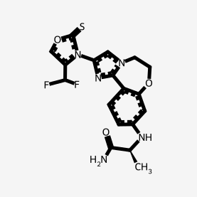 C[C@H](Nc1ccc2c(c1)OCCn1cc(-n3c(C(F)F)coc3=S)nc1-2)C(N)=O